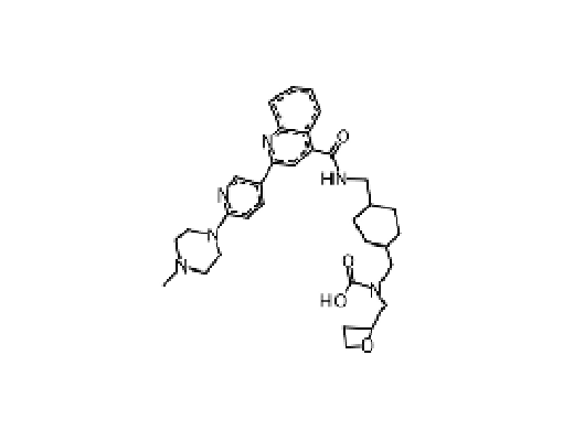 CN1CCN(c2ccc(-c3cc(C(=O)NCC4CCC(CN(CC5CCO5)C(=O)O)CC4)c4ccccc4n3)cn2)CC1